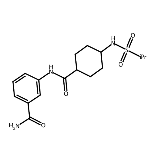 CC(C)S(=O)(=O)NC1CCC(C(=O)Nc2cccc(C(N)=O)c2)CC1